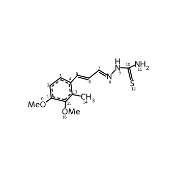 COc1ccc(C=CC=NNC(N)=S)c(C)c1OC